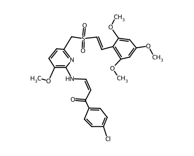 COc1cc(OC)c(/C=C/S(=O)(=O)Cc2ccc(OC)c(N/C=C\C(=O)c3ccc(Cl)cc3)n2)c(OC)c1